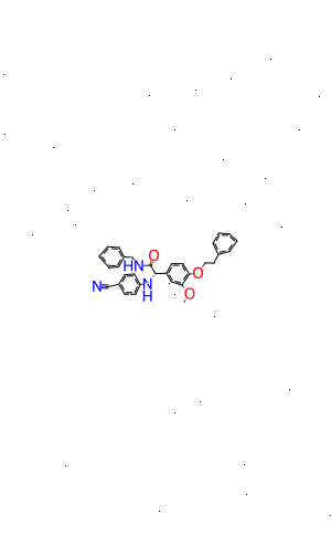 COc1cc([C@H](Nc2ccc(C#N)cc2)C(=O)NCc2ccccc2)ccc1OCCc1ccccc1